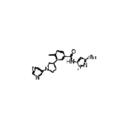 Cc1ccc(C(=O)Nc2cc(C(C)(C)C)nn2C)cc1C1CCN(c2cncnc2)C1